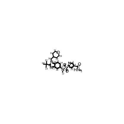 CNC(=O)c1cnn(S(=O)(=O)N(C)c2ccc3c(c2)nc(C(C)(C)C)n3CC2CCOCC2)c1